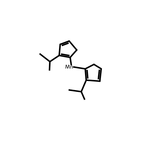 CC(C)C1=[C]([Mn][C]2=C(C(C)C)C=CC2)CC=C1